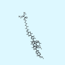 C=C(C)C(=O)OCCCCCCCOc1ccc(-c2ccc(-c3ccc4c(c3)C3(c5cc(-c6cc7sc(C)cc7s6)ccc5-4)C(C)(C)CCCC3(C)C)s2)cc1